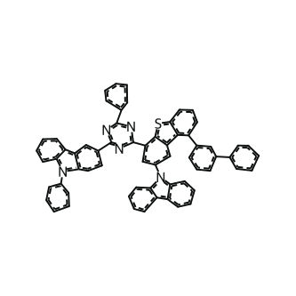 c1ccc(-c2cccc(-c3cccc4sc5c(-c6nc(-c7ccccc7)nc(-c7ccc8c(c7)c7ccccc7n8-c7ccccc7)n6)cc(-n6c7ccccc7c7ccccc76)cc5c34)c2)cc1